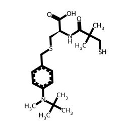 CN(c1ccc(CSC[C@H](NC(=O)C(C)(C)CS)C(=O)O)cc1)C(C)(C)C